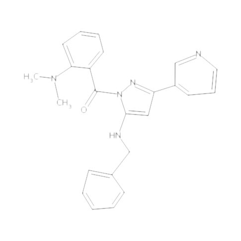 CN(C)c1ccccc1C(=O)n1nc(-c2cccnc2)cc1NCc1ccccc1